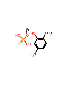 CC(C)OP(O)(O)=S.O=C(O)c1ccc([N+](=O)[O-])cc1O